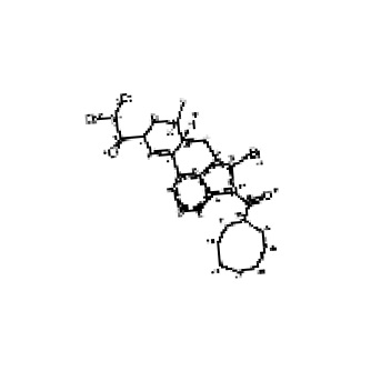 CCN(CC)C(=O)[C@@H]1C=C2c3cccc4c3c(c(Br)n4C(=O)C3CCCCCCC3)C[C@H]2N(C)C1